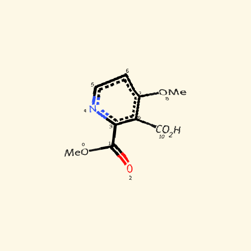 COC(=O)c1nccc(OC)c1C(=O)O